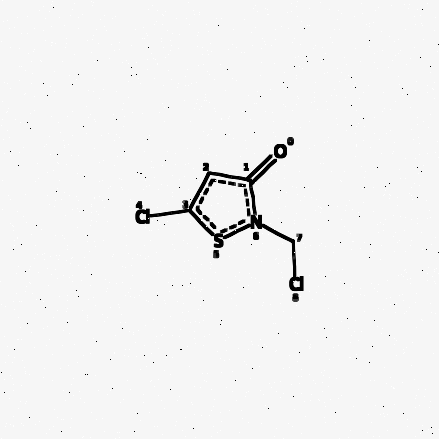 O=c1cc(Cl)sn1CCl